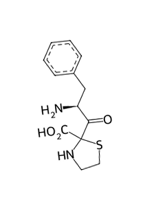 N[C@@H](Cc1ccccc1)C(=O)C1(C(=O)O)NCCS1